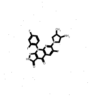 CC1CN(c2nc3c(cc2F)c(=O)c2c(=O)[nH]sc2n3-c2ccc(F)cc2F)CC1N